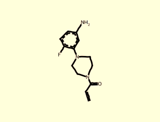 C=CC(=O)N1CCN(c2cc(N)ccc2F)CC1